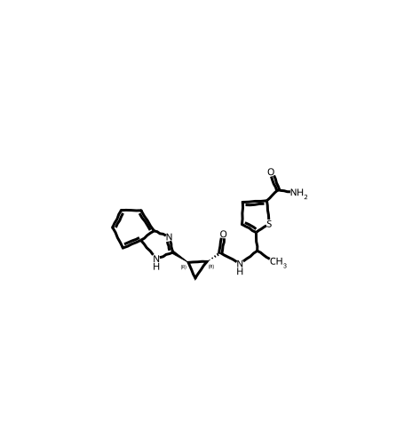 CC(NC(=O)[C@@H]1C[C@H]1c1nc2ccccc2[nH]1)c1ccc(C(N)=O)s1